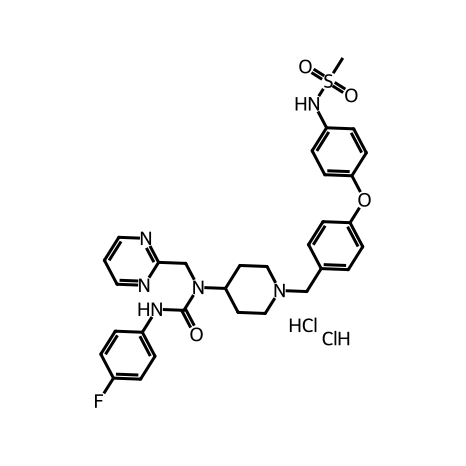 CS(=O)(=O)Nc1ccc(Oc2ccc(CN3CCC(N(Cc4ncccn4)C(=O)Nc4ccc(F)cc4)CC3)cc2)cc1.Cl.Cl